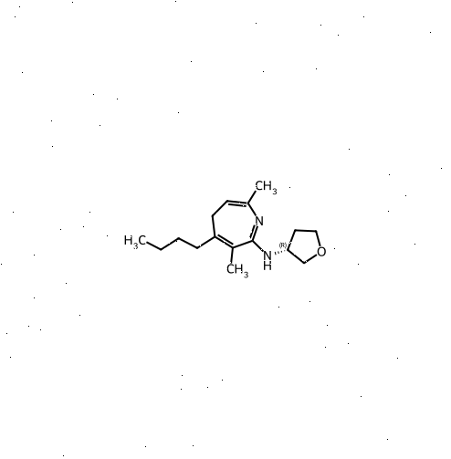 CCCCC1=C(C)C(N[C@@H]2CCOC2)=NC(C)=CC1